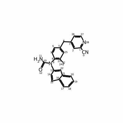 N#Cc1cc(Cc2ccc(N(C(N)=O)c3ccc4ccccc4c3)c(F)c2)ccn1